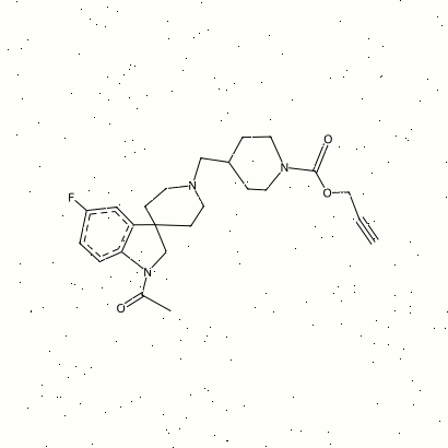 C#CCOC(=O)N1CCC(CN2CCC3(CC2)CN(C(C)=O)c2ccc(F)cc23)CC1